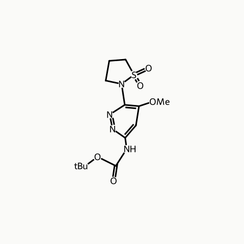 COc1cc(NC(=O)OC(C)(C)C)nnc1N1CCCS1(=O)=O